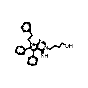 N=c1c2c(-c3ccccc3)c(-c3ccccc3)n(CCc3ccccc3)c2ncn1CCCCO